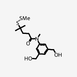 CSSC(C)(C)CCC(=O)N(C)c1cc(CO)cc(CO)c1